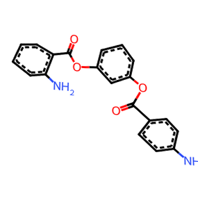 Nc1ccc(C(=O)Oc2cccc(OC(=O)c3ccccc3N)c2)cc1